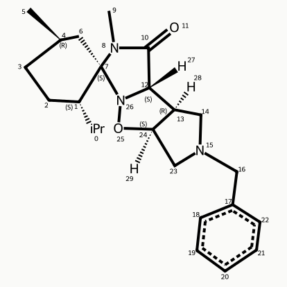 CC(C)[C@@H]1CC[C@@H](C)C[C@@]12N(C)C(=O)[C@@H]1[C@H]3CN(Cc4ccccc4)C[C@H]3ON12